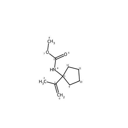 C=C(C)C1(NC(=O)OC)CCCC1